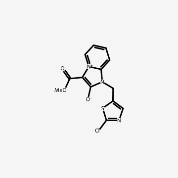 COC(=O)c1c([O-])n(Cc2cnc(Cl)s2)c2cccc[n+]12